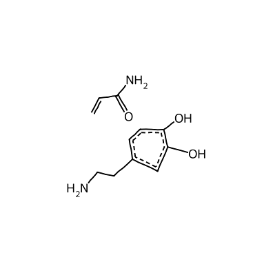 C=CC(N)=O.NCCc1ccc(O)c(O)c1